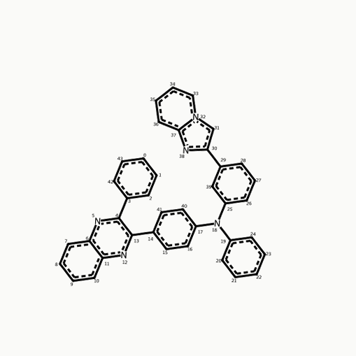 c1ccc(-c2nc3ccccc3nc2-c2ccc(N(c3ccccc3)c3cccc(-c4cn5ccccc5n4)c3)cc2)cc1